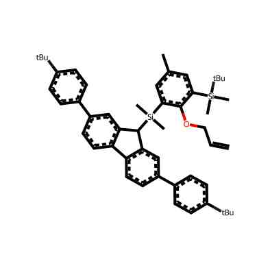 C=CCOc1c([Si](C)(C)C2c3cc(-c4ccc(C(C)(C)C)cc4)ccc3-c3ccc(-c4ccc(C(C)(C)C)cc4)cc32)cc(C)cc1[Si](C)(C)C(C)(C)C